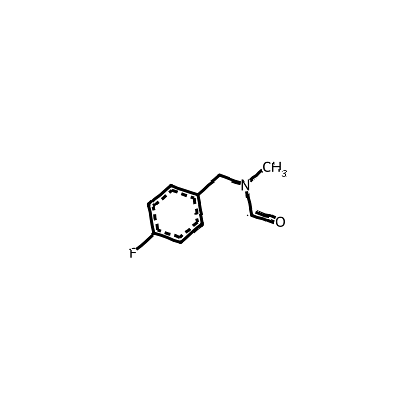 CN([C]=O)Cc1ccc(F)cc1